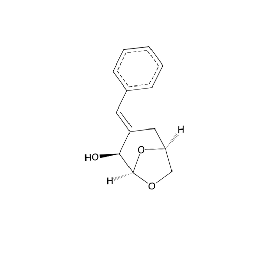 O[C@H]1C(=Cc2ccccc2)C[C@H]2CO[C@@H]1O2